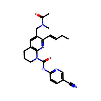 CC/C=C/c1nc2c(cc1CN(C)C(C)=O)CCCN2C(=O)Nc1ccc(C#N)cn1